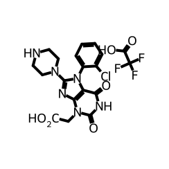 O=C(O)C(F)(F)F.O=C(O)Cn1c(=O)[nH]c(=O)c2c1nc(N1CCNCC1)n2-c1ccccc1Cl